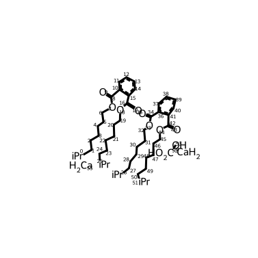 CC(C)CCCCCCOC(=O)c1ccccc1C(=O)OCCCCCCC(C)C.CC(C)CCCCCCOC(=O)c1ccccc1C(=O)OCCCCCCC(C)C.O=C(O)O.[CaH2].[CaH2]